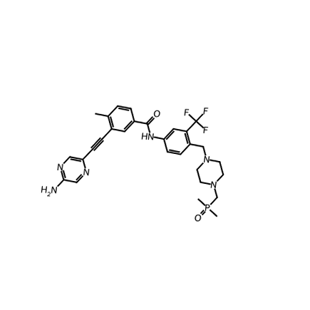 Cc1ccc(C(=O)Nc2ccc(CN3CCN(CP(C)(C)=O)CC3)c(C(F)(F)F)c2)cc1C#Cc1cnc(N)cn1